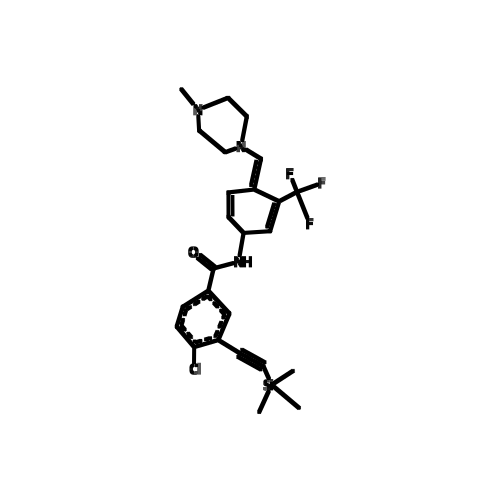 CN1CCN(/C=C2\C=CC(NC(=O)c3ccc(Cl)c(C#C[Si](C)(C)C)c3)C=C2C(F)(F)F)CC1